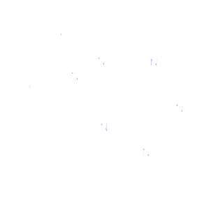 CN(NS(C)(=O)=O)c1ncnc2c1ncn2C